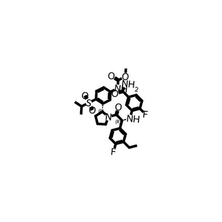 CCc1cc([C@@H](Nc2cc(C(N)=O)ccc2F)C(=O)N2CCC[C@@H]2c2cc(NC(=O)OC)ccc2S(=O)(=O)C(C)C)ccc1F